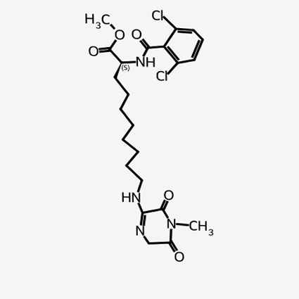 COC(=O)[C@H](CCCCCCCCNC1=NCC(=O)N(C)C1=O)NC(=O)c1c(Cl)cccc1Cl